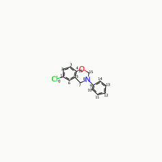 Clc1ccc2c(c1)CN(c1ccccc1)CO2